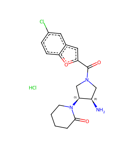 Cl.N[C@@H]1CN(C(=O)c2cc3cc(Cl)ccc3o2)C[C@@H]1N1CCCCC1=O